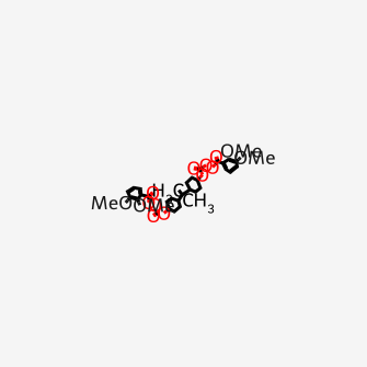 COc1cccc(C(=O)OOC(=O)OC2CCC(C(C)(C)C3CCC(OC(=O)OOC(=O)c4cccc(OC)c4OC)CC3)CC2)c1OC